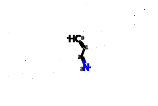 [CH]=CC=[N]